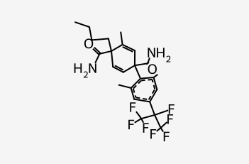 CCCCC1(C(N)=O)C=CC(C(N)=O)(c2c(C)cc(C(F)(C(F)(F)F)C(F)(F)F)cc2C)C=C1C